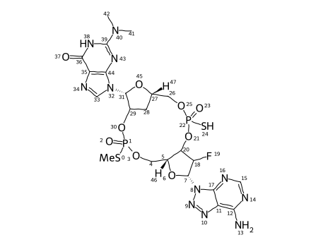 CSP1(=O)OC[C@H]2O[C@@H](n3nnc4c(N)ncnc43)C(F)C2OP(=O)(S)OC[C@@H]2CC(O1)[C@H](n1cnc3c(=O)[nH]c(N(C)C)nc31)O2